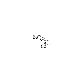 [Ba+2].[Cd+2].[S-2].[S-2]